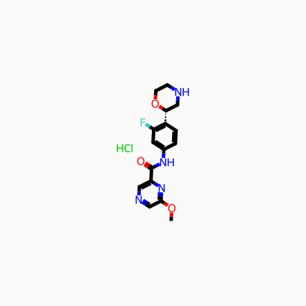 COc1cncc(C(=O)Nc2ccc([C@H]3CNCCO3)c(F)c2)n1.Cl